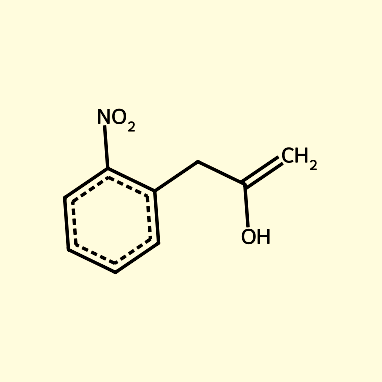 C=C(O)Cc1ccccc1[N+](=O)[O-]